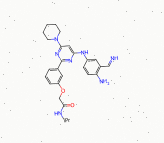 CC(C)NC(=O)COc1cccc(-c2nc(Nc3ccc(N)c(C=N)c3)cc(N3CCCCC3)n2)c1